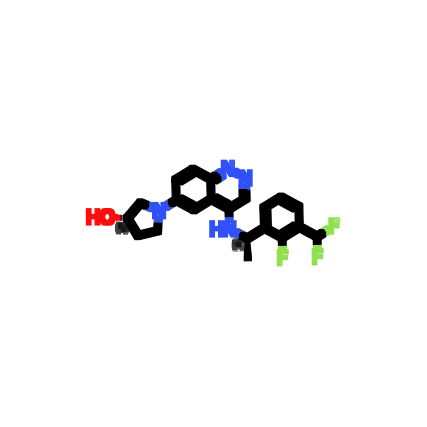 C[C@@H](Nc1cnnc2ccc(N3CC[C@H](O)C3)cc12)c1cccc(C(F)F)c1F